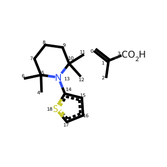 C=C(C)C(=O)O.CC1(C)CCCC(C)(C)N1c1cccs1